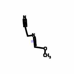 CO/C=N/CC#N